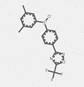 Cc1cc(C)cc([S+]([O-])c2ccc(-c3noc(C(F)(F)F)n3)cc2)c1